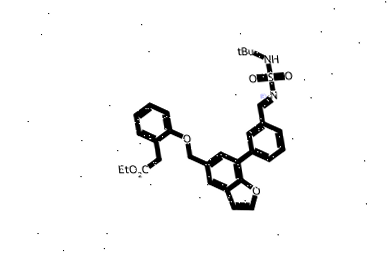 CCOC(=O)Cc1ccccc1OCc1cc(-c2cccc(/C=N/S(=O)(=O)NC(C)(C)C)c2)c2occc2c1